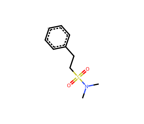 CN(C)S(=O)(=O)CCc1cc[c]cc1